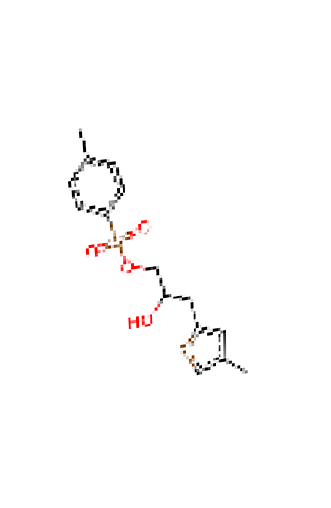 Cc1ccc(S(=O)(=O)OCC(O)Cc2cc(C)cs2)cc1